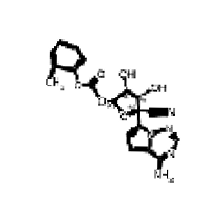 Cc1ccccc1OC(=O)O[C@H]1O[C@@](C#N)(c2ccc3c(N)ncnn23)[C@H](O)[C@@H]1O